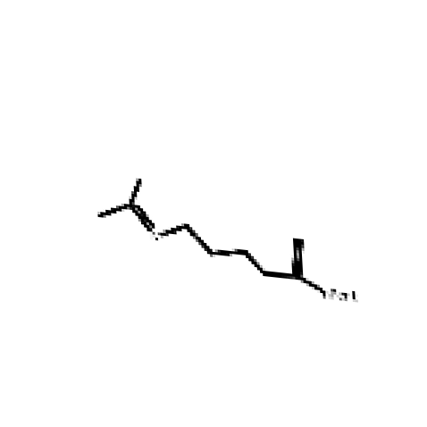 C=C(CCCCC)CCCCN=C(C)C